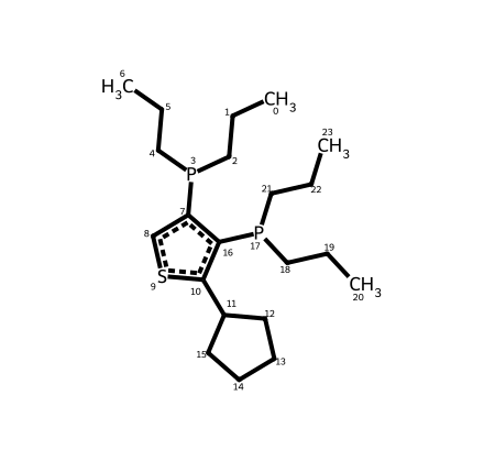 CCCP(CCC)c1csc(C2CCCC2)c1P(CCC)CCC